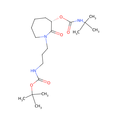 CC(C)(C)NC(=O)O[C@H]1CCCCN(CCCNC(=O)OC(C)(C)C)C1=O